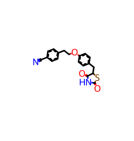 N#Cc1ccc(CCOc2ccc(CC3SC(=O)NC3=O)cc2)cc1